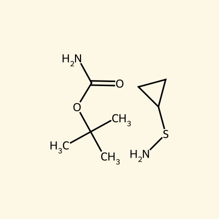 CC(C)(C)OC(N)=O.NSC1CC1